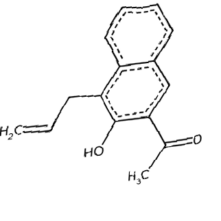 C=CCc1c(O)c(C(C)=O)cc2ccccc12